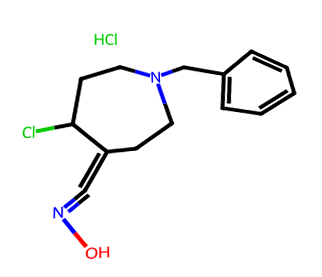 Cl.ON=C=C1CCN(Cc2ccccc2)CCC1Cl